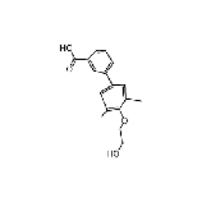 Cc1cc(-c2cccc(C(=O)O)c2)cc(C)c1OCCO